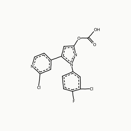 O=C(O)Oc1cc(-c2ccnc(Cl)c2)n(-c2ccc(F)c(Cl)c2)n1